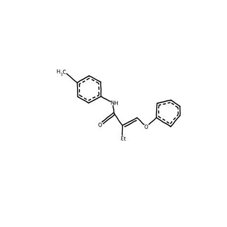 CC/C(=C\Oc1ccccc1)C(=O)Nc1ccc(C)cc1